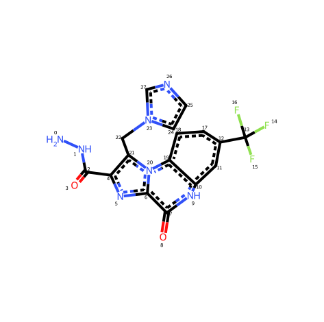 NNC(=O)c1nc2c(=O)[nH]c3cc(C(F)(F)F)ccc3n2c1Cn1ccnc1